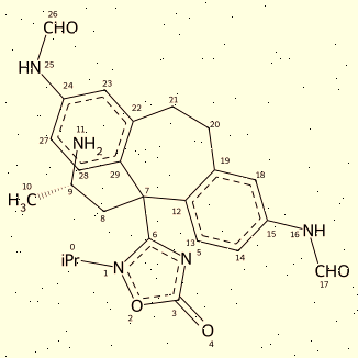 CC(C)n1oc(=O)nc1C1(C[C@H](C)N)c2ccc(NC=O)cc2CCc2cc(NC=O)ccc21